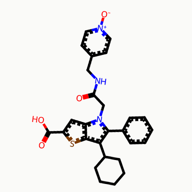 O=C(Cn1c(-c2ccccc2)c(C2CCCCC2)c2sc(C(=O)O)cc21)NCc1cc[n+]([O-])cc1